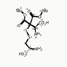 CC(C)(C)OC(=O)C(SSC[C@H](N)C(=O)O)(C(=O)OC(C)(C)C)[C@H](N)C(=O)O